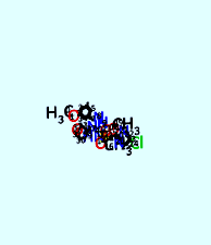 COc1cccc(-c2nnc(NS(=O)(=O)[C@@H](C)[C@H](OC)c3ncc(Cl)cn3)n2C2CCCOC2)c1